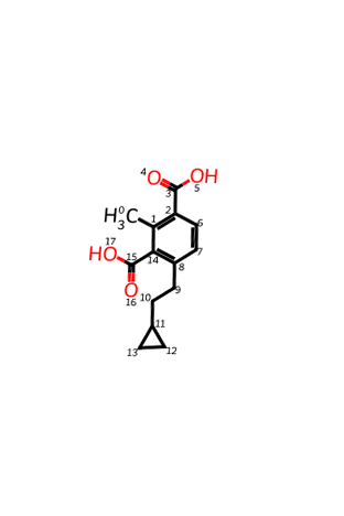 Cc1c(C(=O)O)ccc(CCC2CC2)c1C(=O)O